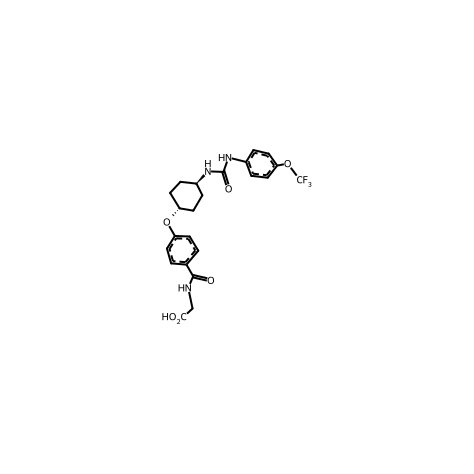 O=C(O)CNC(=O)c1ccc(O[C@H]2CC[C@H](NC(=O)Nc3ccc(OC(F)(F)F)cc3)CC2)cc1